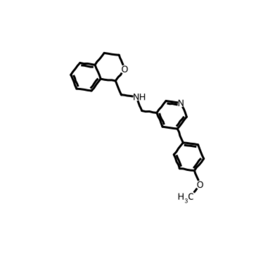 COc1ccc(-c2cncc(CNCC3OCCc4ccccc43)c2)cc1